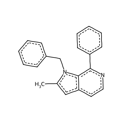 Cc1cc2ccnc(-c3ccccc3)c2n1Cc1ccccc1